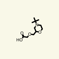 CC(C)(C)N1CCOC(COCC(=O)O)C1